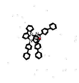 c1ccc(-c2ccc(-c3nc(-c4ccc(-c5ccccc5)cc4)nc(-n4c5ccccc5c5cccc(N(c6ccccc6)c6ccc(-c7ccccc7)cc6)c54)n3)cc2)cc1